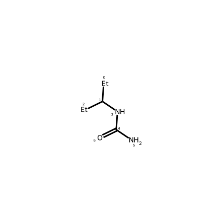 CCC(CC)NC(N)=O